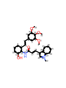 COc1cc(/C=C/c2cccc(O)c2NC(=O)/C=C/c2cn(C)c3ccccc23)cc(OC)c1OC